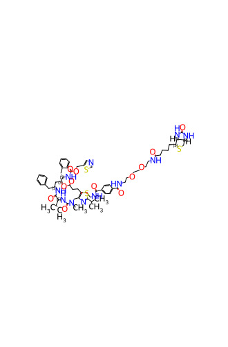 CC(C)c1nc(CN(C)C(=O)N[C@H](C(=O)N[C@@H](Cc2ccccc2)C[C@H](OC(=O)CCCCCNC(=O)c2ccc(C(=O)NCCOCCOCCNC(=O)CCCC[C@@H]3SC[C@@H]4NC(=O)N[C@@H]43)cc2)[C@H](Cc2ccccc2)NC(=O)OCc2cncs2)C(C)C)cs1